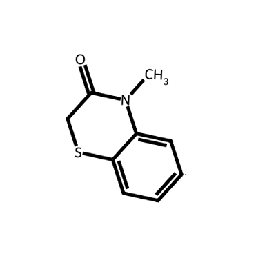 CN1C(=O)CSc2cc[c]cc21